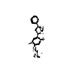 Cc1cc(C2CC(c3ccccc3)=NO2)c(F)cc1N=CN(C)C